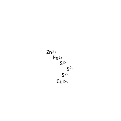 [Cu+2].[Fe+2].[S-2].[S-2].[S-2].[Zn+2]